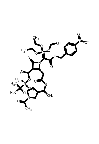 CCOP(OCC)(OCC)=C(C(=O)OCc1ccc([N+](=O)[O-])cc1)N1C(=O)C(C(C)O[Si](C)(C)C(C)(C)C)C1CC(=O)SC(C)C1CCN(C(C)=O)C1